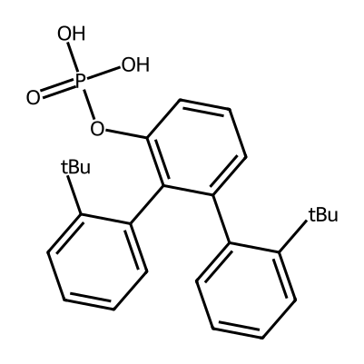 CC(C)(C)c1ccccc1-c1cccc(OP(=O)(O)O)c1-c1ccccc1C(C)(C)C